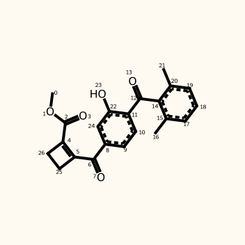 COC(=O)C1=C(C(=O)c2ccc(C(=O)c3c(C)cccc3C)c(O)c2)CC1